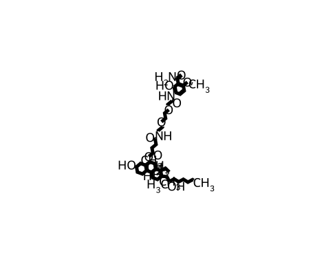 CCCCCC[C@](C)(O)[C@H]1CC[C@H]2[C@@H]3C[C@H](OC(=O)CCC(=O)NCCOCCOCC(=O)Nc4ccc(OC)c(C(N)=O)c4O)[C@@]4(C)C[C@@H](O)CC[C@]4(C)[C@H]3CC[C@@]21C